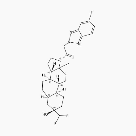 CC12CC[C@H]3[C@@H](CC[C@@H]4C[C@@](O)(C(F)F)CC[C@@H]43)[C@@H]1CC[C@@H]2C(=O)Cn1nc2ccc(F)cc2n1